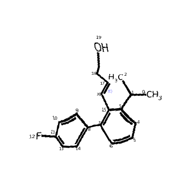 CC(C)c1cccc(-c2ccc(F)cc2)c1/C=C/CO